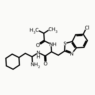 CC(C)C(=O)NC(Cc1nc2ccc(Cl)cc2s1)C(=O)NC(N)CC1CCCCC1